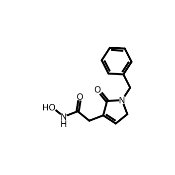 O=C(CC1=CCN(Cc2ccccc2)C1=O)NO